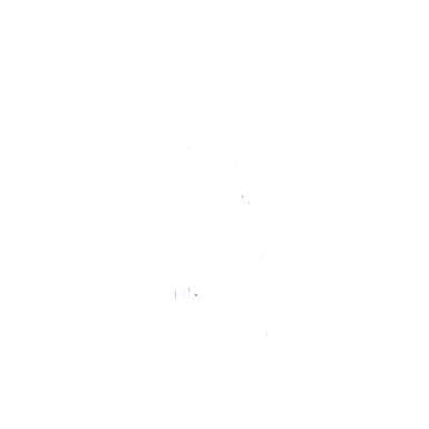 C=CC(=O)N1CC(C)(C(=O)NCC)C1